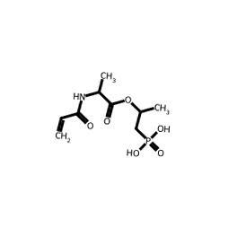 C=CC(=O)NC(C)C(=O)OC(C)CP(=O)(O)O